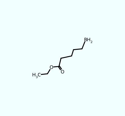 BCCCCC(=O)OCC